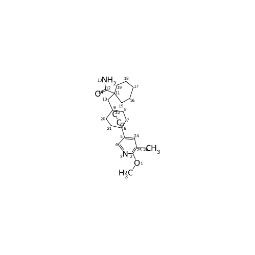 COc1ncc(C23CCC(CC4(C(N)=O)CCCCC4)(CC2)CC3)cc1C